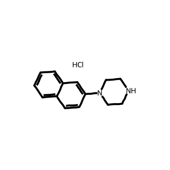 Cl.c1ccc2cc(N3CCNCC3)ccc2c1